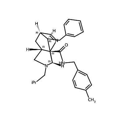 Cc1ccc(CNC(=O)[C@]23N=C[C@@H]4C[C@H]2CN(CC(C)C)[C@H]3[C@@H]4Cc2ccccc2)cc1